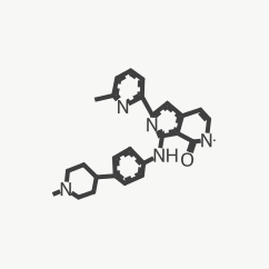 Cc1cccc(-c2cc3c(c(Nc4ccc(C5CCN(C)CC5)cc4)n2)C(=O)[N]C=C3)n1